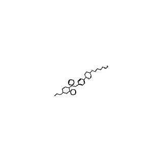 CCCCCCCC1CCC(c2ccc(CC(=O)C3CCC(CCC)CC3=O)cc2)CC1